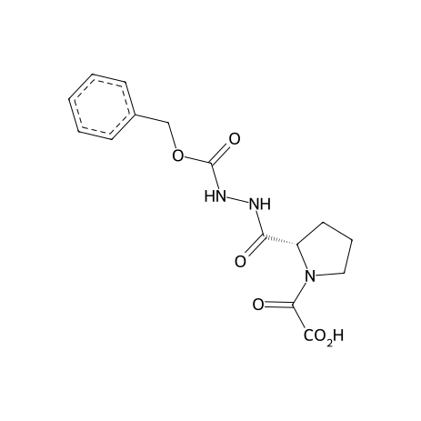 O=C(NNC(=O)[C@@H]1CCCN1C(=O)C(=O)O)OCc1ccccc1